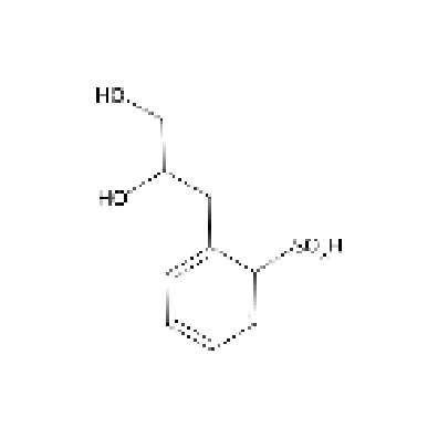 O=S(=O)(O)c1ccccc1CC(O)CO